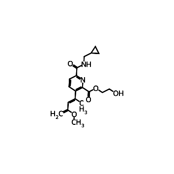 C=C(/C=C(\C)c1ccc(C(=O)NCC2CC2)nc1C(=O)OCCO)OC